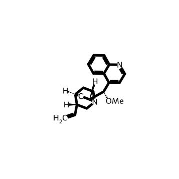 C=C[C@H]1CN2CC[C@H]1C[C@@H]2[C@@H](OC)c1ccnc2ccccc12